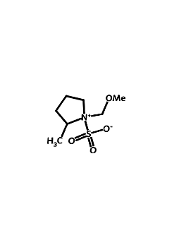 COC[N+]1(S(=O)(=O)[O-])CCCC1C